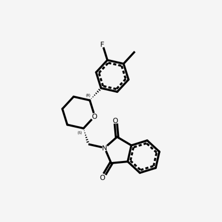 Cc1ccc([C@H]2CCC[C@@H](CN3C(=O)c4ccccc4C3=O)O2)cc1F